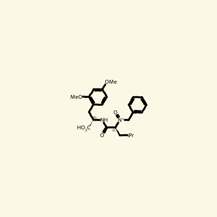 COc1ccc(C[C@H](NC(=O)[C@H](CC(C)C)[N+](=O)Cc2ccccc2)C(=O)O)c(OC)c1